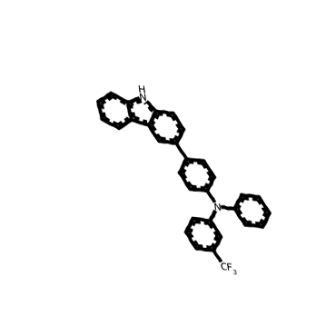 FC(F)(F)c1cccc(N(c2ccccc2)c2ccc(-c3ccc4[nH]c5ccccc5c4c3)cc2)c1